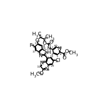 COC(=O)c1ccc(NC(=O)O[C@H](C)[C@H](C)Oc2cc3sc(-c4cc(Cl)cc5nc(OC)cnc45)nc3cc2F)cn1